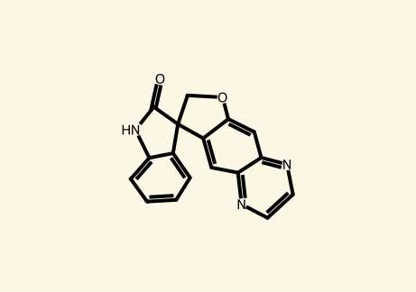 O=C1Nc2ccccc2C12COc1cc3nccnc3cc12